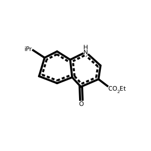 CCOC(=O)c1c[nH]c2cc(C(C)C)ccc2c1=O